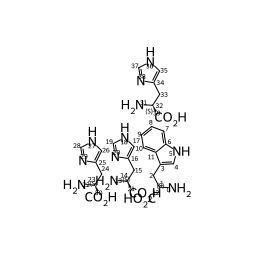 N[C@@H](Cc1c[nH]c2ccccc12)C(=O)O.N[C@@H](Cc1c[nH]cn1)C(=O)O.N[C@@H](Cc1c[nH]cn1)C(=O)O.N[C@@H](Cc1c[nH]cn1)C(=O)O